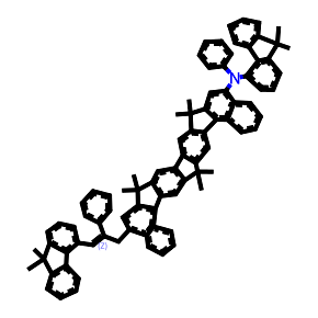 CC1(C)c2cc3c(cc2-c2cc4c(cc21)-c1c(cc(N(c2ccccc2)c2cccc5c2-c2ccccc2C5(C)C)c2ccccc12)C4(C)C)C(C)(C)c1cc(C/C(=C/c2cccc4c2-c2ccccc2C4(C)C)c2ccccc2)c2ccccc2c1-3